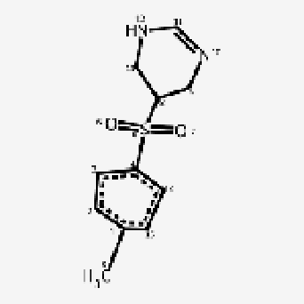 Cc1ccc(S(=O)(=O)C2CN=CNC2)cc1